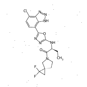 CC[C@H](Nc1nnc(-c2ccc(Cl)c3nn[nH]c23)o1)C(=O)N1CC[C@]2(C1)CC2(F)F